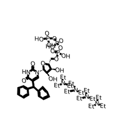 CCN(CC)CC.CCN(CC)CC.CCN(CC)CC.CCN(CC)CC.O=c1[nH]c(=O)n([C@@H]2O[C@H](COP(=O)(O)OP(=O)(O)OP(=O)(O)O)[C@@H](O)[C@H]2O)cc1C(c1ccccc1)c1ccccc1